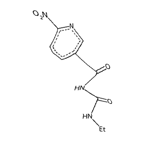 CCNC(=O)NC(=O)c1ccc([N+](=O)[O-])nc1